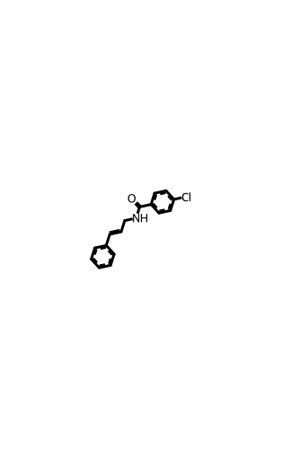 O=C(NC/C=C/c1ccccc1)c1ccc(Cl)cc1